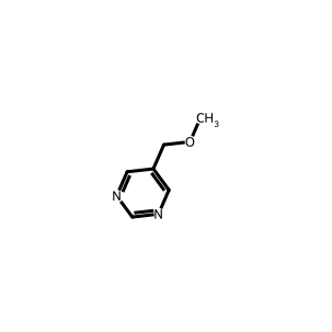 COCc1cncnc1